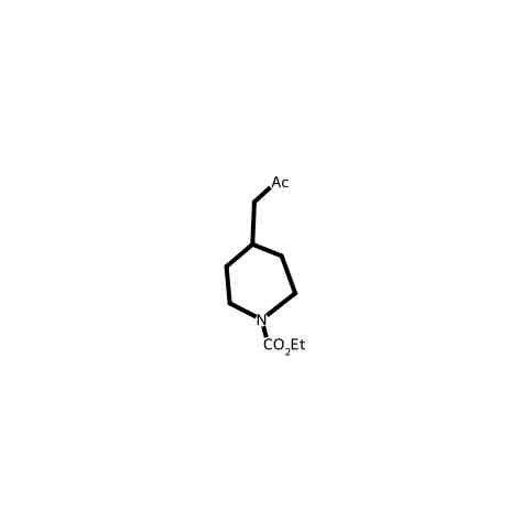 CCOC(=O)N1CCC(CC(C)=O)CC1